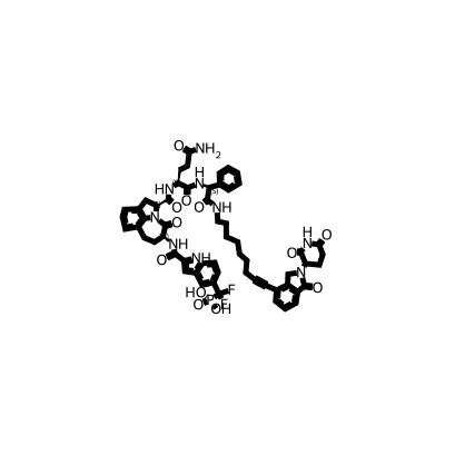 NC(=O)CC[C@H](NC(=O)[C@@H]1Cc2cccc3c2N1C(=O)[C@@H](NC(=O)c1cc2cc(C(F)(F)P(=O)(O)O)ccc2[nH]1)CC3)C(=O)N[C@H](C(=O)NCCCCCCCC#Cc1cccc2c1CN(C1CCC(=O)NC1=O)C2=O)c1ccccc1